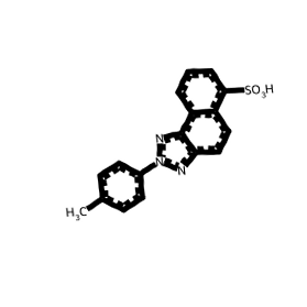 Cc1ccc(-n2nc3ccc4c(S(=O)(=O)O)cccc4c3n2)cc1